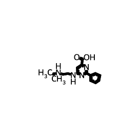 CC(C)NCCNc1cc(C(=O)O)nc(-c2ccccc2)n1